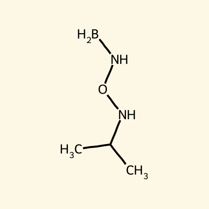 BNONC(C)C